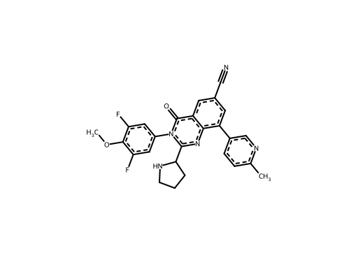 COc1c(F)cc(-n2c(C3CCCN3)nc3c(-c4ccc(C)nc4)cc(C#N)cc3c2=O)cc1F